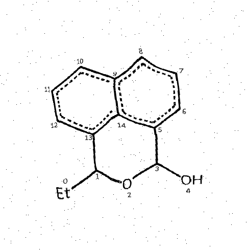 CCC1OC(O)c2cccc3cccc1c23